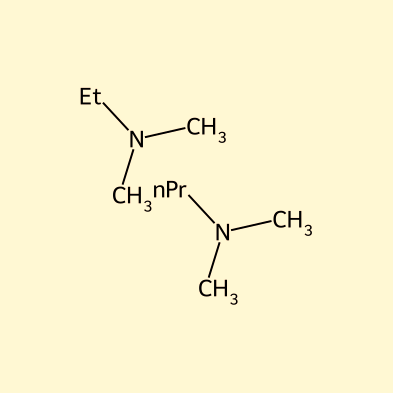 CCCN(C)C.CCN(C)C